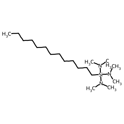 CCCCCCCCCCCCC[Si](N(C)C)(N(C)C)N(C)C